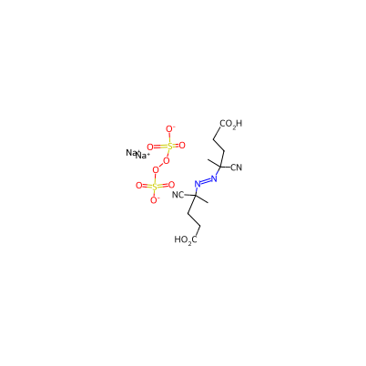 CC(C#N)(CCC(=O)O)N=NC(C)(C#N)CCC(=O)O.O=S(=O)([O-])OOS(=O)(=O)[O-].[Na+].[Na+]